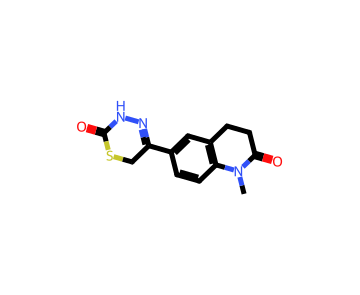 CN1C(=O)CCc2cc(C3=NNC(=O)SC3)ccc21